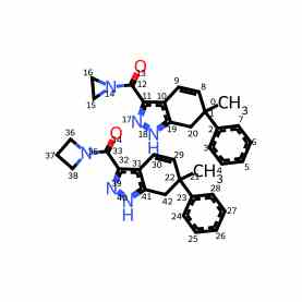 CC1(c2ccccc2)C=Cc2c(C(=O)N3CC3)n[nH]c2C1.CC1(c2ccccc2)C=Cc2c(C(=O)N3CCC3)n[nH]c2C1